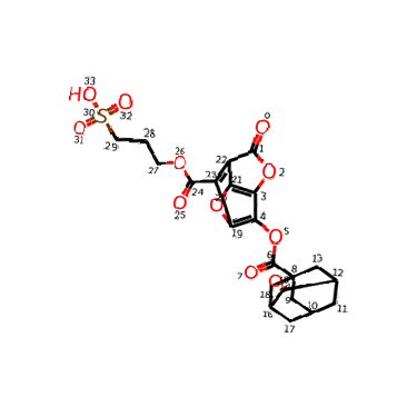 O=C1Oc2c(OC(=O)C34CC5CC(C3)C(=O)C(C5)C4)c3oc2c1c3C(=O)OCCCS(=O)(=O)O